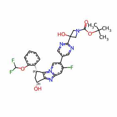 CC(C)(C)OC(=O)N1CC(O)(c2ncc(-c3cn4c5c(nc4cc3F)[C@H](O)C[C@@H]5c3ccccc3OC(F)F)cn2)C1